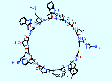 CCCC[C@H]1C(=O)N(C)[C@@H](CCCC)C(=O)N[C@@H](CC(C)C)C(=O)N[C@H](C(=O)NCC(N)=O)CSCC(=O)N[C@@H](Cc2ccc(O)cc2)C(=O)N(C)[C@@H](C)C(=O)N[C@@H](CC(=O)O)C(=O)N2CCC[C@H]2C(=O)N[C@@H](Cc2c[nH]cn2)C(=O)N[C@@H](CCCCN)C(=O)N2C[C@H](O)C[C@H]2C(=O)N[C@@H](Cc2c[nH]c3ccccc23)C(=O)N[C@@H](CCCCN)C(=O)N[C@@H](Cc2c[nH]c3ccccc23)C(=O)N1C